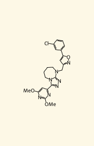 COc1cc(-c2nnc3n2CCCCN3Cc2cc(-c3cccc(Cl)c3)on2)nc(OC)n1